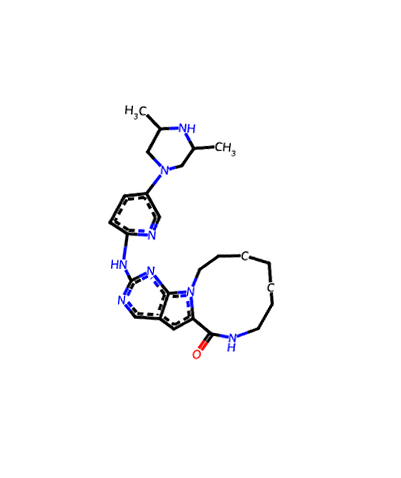 CC1CN(c2ccc(Nc3ncc4cc5n(c4n3)CCCCCCCNC5=O)nc2)CC(C)N1